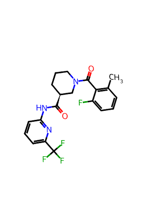 Cc1cccc(F)c1C(=O)N1CCC[C@H](C(=O)Nc2cccc(C(F)(F)F)n2)C1